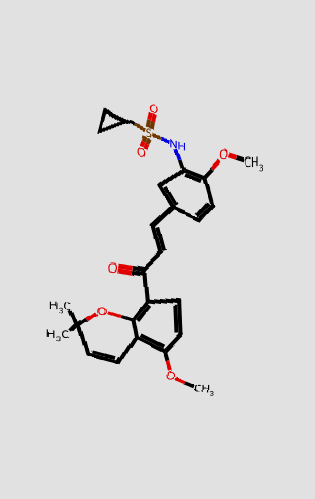 COc1ccc(C=CC(=O)c2ccc(OC)c3c2OC(C)(C)C=C3)cc1NS(=O)(=O)C1CC1